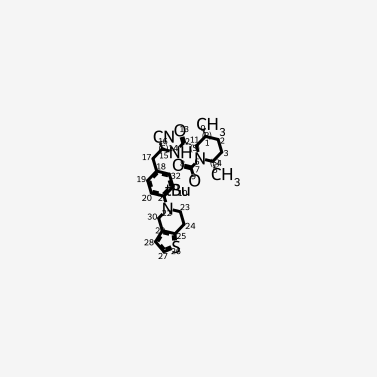 C[C@@H]1CC[C@H](C)N(C(=O)OC(C)(C)C)[C@@H]1C(=O)N[C@H](C#N)Cc1ccc(N2CCc3sccc3C2)cc1